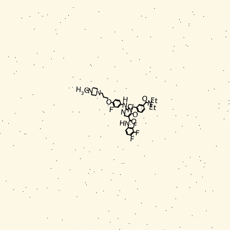 CCN(CC)C(=O)c1ccc(Oc2nc(Nc3ccc(OCCCN4CCN(C)CC4)c(F)c3)ncc2C(=O)Nc2ccc(F)c(F)c2F)c(Cl)c1